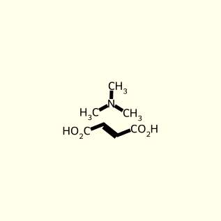 CN(C)C.O=C(O)/C=C/C(=O)O